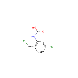 O=C(O)Nc1cc(Br)ccc1CCl